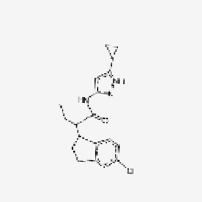 CCC(C(=O)Nc1cc(C2CC2)[nH]n1)C1CCc2cc(Cl)ccc21